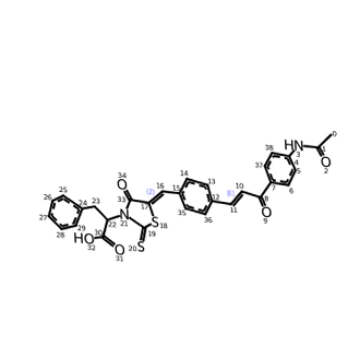 CC(=O)Nc1ccc(C(=O)/C=C/c2ccc(/C=C3\SC(=S)N(C(Cc4ccccc4)C(=O)O)C3=O)cc2)cc1